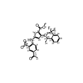 COC(=O)c1sc(Nc2ccc(C(C)=O)cc2[N+](=O)[O-])cc1O[C@H](C)c1ccccc1C(F)(F)F